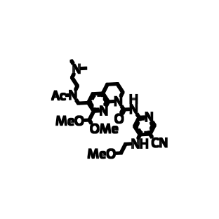 COCCNc1cc(NC(=O)N2CCCc3cc(CN(CCN(C)C)C(C)=O)c(C(OC)OC)nc32)ncc1C#N